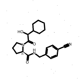 N#Cc1ccc(CNC(=O)[C@H]2CCCN2C(=O)C(O)C2CCCCC2)cc1